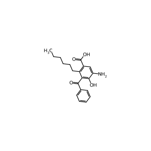 CCCCCCc1c(C(=O)O)cc(N)c(O)c1C(=O)c1ccccc1